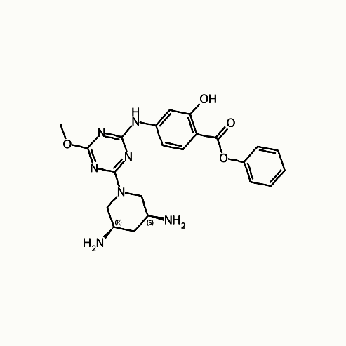 COc1nc(Nc2ccc(C(=O)Oc3ccccc3)c(O)c2)nc(N2C[C@H](N)C[C@H](N)C2)n1